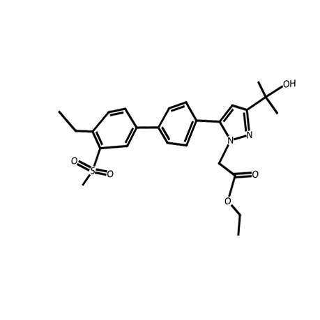 CCOC(=O)Cn1nc(C(C)(C)O)cc1-c1ccc(-c2ccc(CC)c(S(C)(=O)=O)c2)cc1